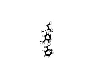 O=C(CCl)Nc1ccc(OCc2ccccn2)c(Cl)c1